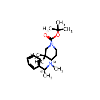 C[C@@H](c1ccccc1)N(C)[C@H]1CCN(C(=O)OC(C)(C)C)CC1(C)C